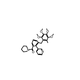 COc1c(C)c(Cc2cccc(C(=O)N3CCCCC3)c2-c2cccnc2)c(OC)c(OC)c1OC